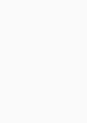 C.O=C(O)C1(Cc2ccc(O)cc2)CCS(=O)(=O)N1